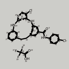 O=C(Nc1ccc(Cl)cc1)c1cc2cc(c1)Nc1nc(ncc1Cl)Nc1cccc(c1)CC2.O=C(O)C(F)(F)F